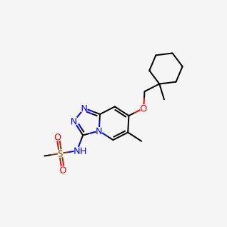 Cc1cn2c(NS(C)(=O)=O)nnc2cc1OCC1(C)CCCCC1